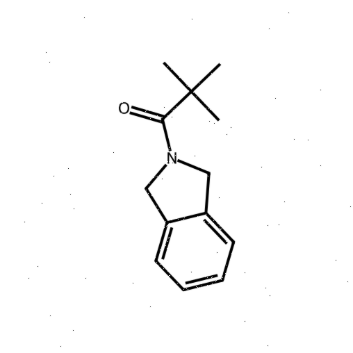 CC(C)(C)C(=O)N1Cc2ccccc2C1